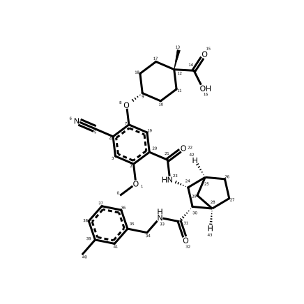 COc1cc(C#N)c(O[C@H]2CC[C@@](C)(C(=O)O)CC2)cc1C(=O)N[C@@H]1[C@H]2CC[C@H](C2)[C@@H]1C(=O)NCc1cccc(C)c1